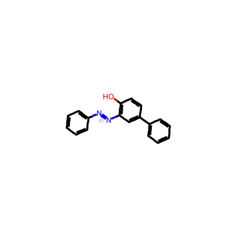 Oc1ccc(-c2ccccc2)cc1/N=N/c1ccccc1